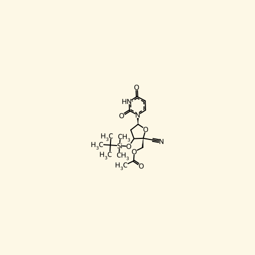 CC(=O)OC[C@]1(C#N)O[C@H](n2ccc(=O)[nH]c2=O)CC1O[Si](C)(C)C(C)(C)C